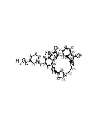 CO[C@@H]1CCCN(Cc2cc3c4nc(c(=O)[nH]c4c2)-c2cccc4c(=O)n(sc24)CCN2CC[C@@H](C2)O3)C1